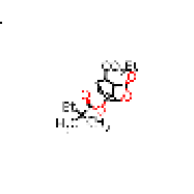 CCOC(=O)C1C2CC3C(OC(=O)C31)C2OC(=O)C(C)(C)CC